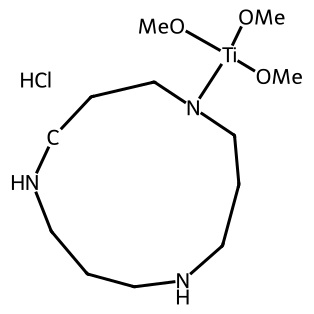 C[O][Ti]([O]C)([O]C)[N]1CCCNCCCNCCC1.Cl